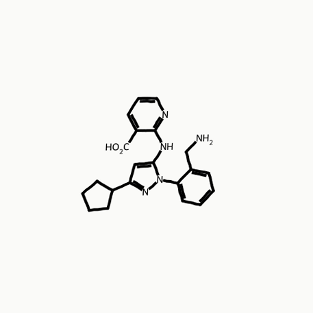 NCc1ccccc1-n1nc(C2CCCC2)cc1Nc1ncccc1C(=O)O